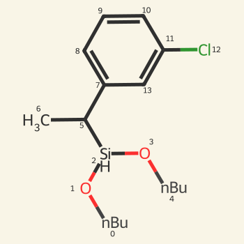 CCCCO[SiH](OCCCC)C(C)c1cccc(Cl)c1